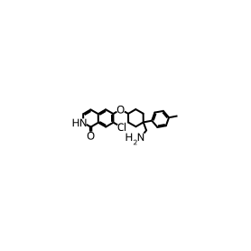 Cc1ccc(C2(CN)CCC(Oc3cc4cc[nH]c(=O)c4cc3Cl)CC2)cc1